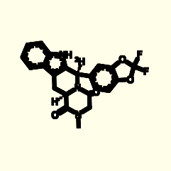 [2H][C@@]1(c2ccc3c(c2)OC(F)(F)O3)c2[nH]c3ccccc3c2C[C@@H]2C(=O)N(C)CC(=O)N21